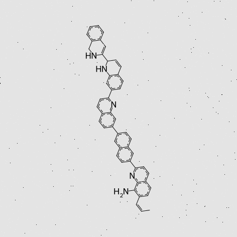 C/C=C\c1ccc2ccc(-c3ccc4cc(-c5ccc6ccc(-c7ccc8c(c7)NC(C7=Cc9ccccc9CN7)C=C8)nc6c5)ccc4c3)nc2c1N